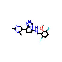 COc1c(F)ccc(F)c1CNc1ccc(-c2cnc(C)nc2C)c2nncn12